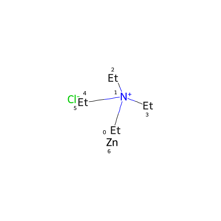 CC[N+](CC)(CC)CC.[Cl-].[Zn]